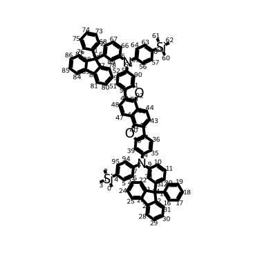 C[Si](C)(C)c1ccc(N(c2cccc(C3(c4ccccc4)c4ccccc4-c4ccccc43)c2)c2ccc3c(c2)oc2c3ccc3c2ccc2c4ccc(N(c5ccc([Si](C)(C)C)cc5)c5cccc(C6(c7ccccc7)c7ccccc7-c7ccccc76)c5)cc4oc23)cc1